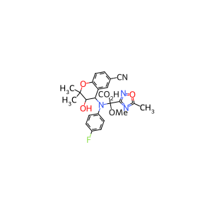 COC(C(=O)O)(c1noc(C)n1)N(c1ccc(F)cc1)C1c2cc(C#N)ccc2OC(C)(C)C1O